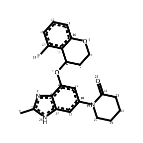 Cc1nc2c(OC3CCOc4cccc(F)c43)cc(N3CCCCC3=O)cc2[nH]1